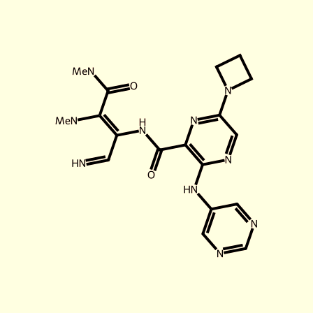 CNC(=O)/C(NC)=C(/C=N)NC(=O)c1nc(N2CCC2)cnc1Nc1cncnc1